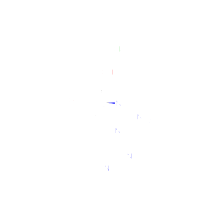 CC1(C)Oc2ccc(C#N)cc2[C@H](N(C(N)=NC#N)c2cccc(Cl)c2)[C@H]1O